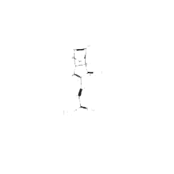 O=C(O)C#CC1=CC2C3C=CC(C3)C2C1=S